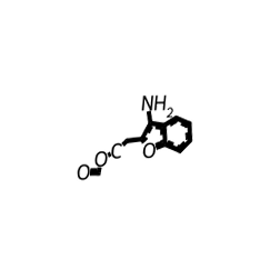 Nc1c(CCOC=O)oc2ccccc12